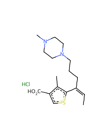 CC=C(CCCN1CCN(C)CC1)c1scc(C(=O)O)c1C.Cl